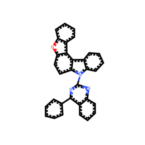 c1ccc(-c2nc(-n3c4ccccc4c4c5c(ccc43)oc3ccccc35)nc3ccccc23)cc1